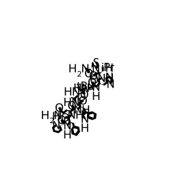 CC(C)C[C@H](NC(=O)[C@H](Cc1c[nH]cn1)NC(=O)CNC(=O)[C@@H](NC(=O)[C@H](C)NC(=O)[C@H](Cc1c[nH]c2ccccc12)NC(=O)[C@H](CCC(N)=O)NC(=O)[C@@H](Cc1ccccc1)NC(=O)[C@@H]1CCCCN1)C(C)(C)C)C(=O)N1CSC[C@H]1C(N)=O